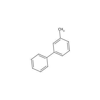 Cc1cccc(-c2c[c]ccc2)c1